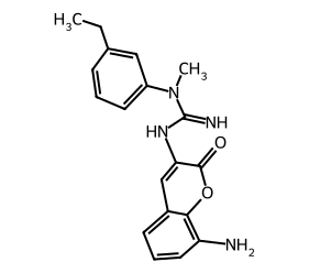 CCc1cccc(N(C)C(=N)Nc2cc3cccc(N)c3oc2=O)c1